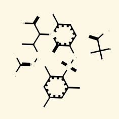 Cc1cc(C)c(S(=O)(=O)Nc2ccc(C)n(C(C(N)=O)C(C)ON=C(N)N)c2=O)c(C)c1.O=C(O)C(F)(F)F